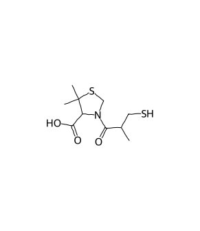 CC(CS)C(=O)N1CSC(C)(C)C1C(=O)O